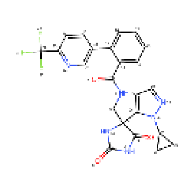 O=C1NC(=O)C(CNC(=O)c2ccccc2-c2ccc(C(F)(F)F)nc2)(c2ccnn2C2CC2)N1